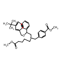 COC(=O)CCCCN(Cc1ccc(C(=O)OC)cc1)CC(OCc1cccc(C(C)(C)C)c1)c1ccccc1